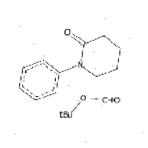 CC(C)(C)OC=O.O=C1CCCCN1c1ccccc1